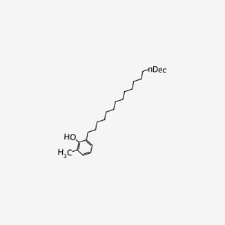 CCCCCCCCCCCCCCCCCCCCCCCc1cccc(C)c1O